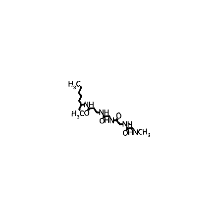 CCCCCC(CC)NC(=O)CCNC(=O)CNC(=O)CNC(=O)CNC